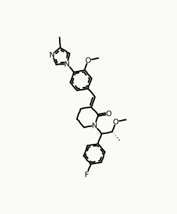 COc1cc(/C=C2\CCCN(C(c3ccc(F)cc3)[C@@H](C)OC)C2=O)ccc1-n1cnc(C)c1